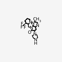 Cc1cnc2cc(N3CCNCC3)c(=O)n(Cc3ncccc3C(F)(F)F)c2n1